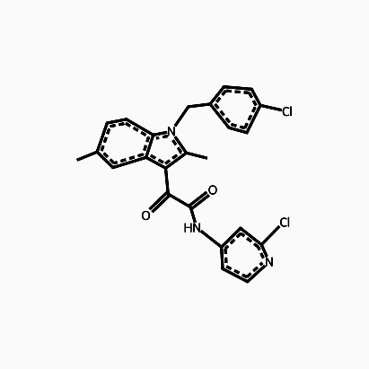 Cc1ccc2c(c1)c(C(=O)C(=O)Nc1ccnc(Cl)c1)c(C)n2Cc1ccc(Cl)cc1